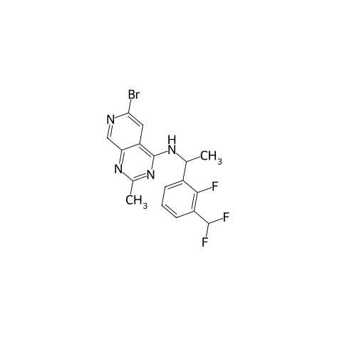 Cc1nc(NC(C)c2cccc(C(F)F)c2F)c2cc(Br)ncc2n1